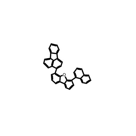 c1ccc2c(c1)-c1cccc3c(-c4cccc5c4oc4c(-c6cccc7ccccc67)cccc45)ccc-2c13